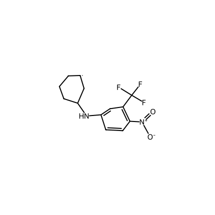 O=[N+]([O-])c1ccc(NC2C[CH]CCC2)cc1C(F)(F)F